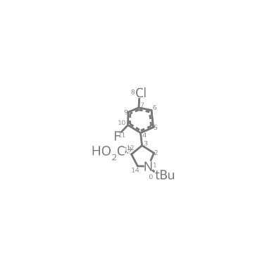 CC(C)(C)N1CC(c2ccc(Cl)cc2F)[C@@H](C(=O)O)C1